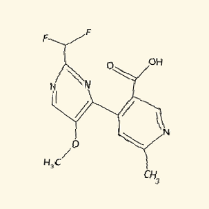 COc1cnc(C(F)F)nc1-c1cc(C)ncc1C(=O)O